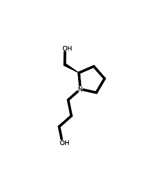 OCCCN1CCC[C@@H]1CO